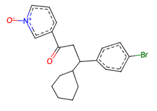 O=C(CC(c1ccc(Br)cc1)C1CCCCC1)c1ccc[n+]([O-])c1